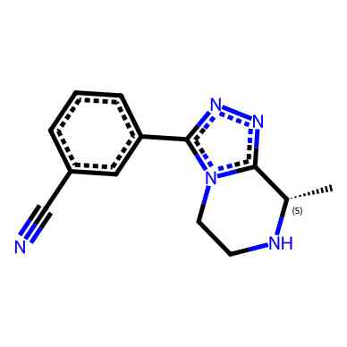 C[C@@H]1NCCn2c(-c3cccc(C#N)c3)nnc21